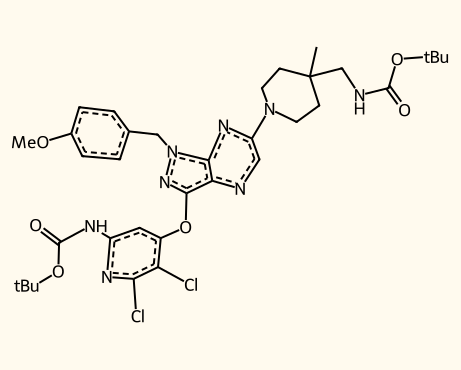 COc1ccc(Cn2nc(Oc3cc(NC(=O)OC(C)(C)C)nc(Cl)c3Cl)c3ncc(N4CCC(C)(CNC(=O)OC(C)(C)C)CC4)nc32)cc1